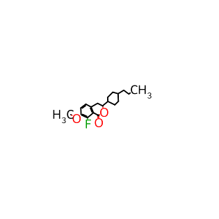 CCCC1CCC(C2Cc3ccc(OC)c(F)c3C(=O)O2)CC1